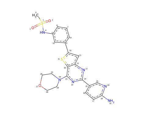 CS(=O)(=O)Nc1cccc(-c2cc3nc(-c4ccc(N)nc4)nc(N4CCOCC4)c3s2)c1